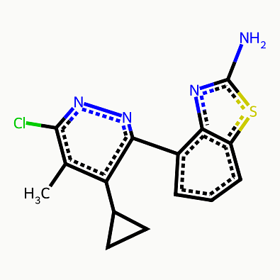 Cc1c(Cl)nnc(-c2cccc3sc(N)nc23)c1C1CC1